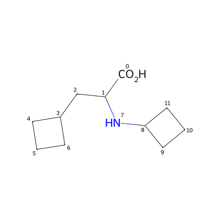 O=C(O)C(CC1CCC1)NC1CCC1